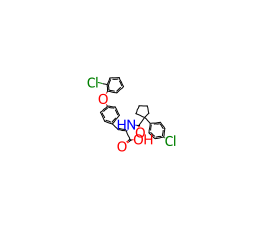 O=C(O)/C(=C/c1ccc(Oc2ccccc2Cl)cc1)NC(=O)C1(c2ccc(Cl)cc2)CCCC1